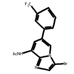 CC(=O)Nc1cc(-c2cccc(C(F)(F)F)c2)cn2c(Br)cnc12